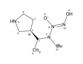 CC([C@@H]1CCNC1)N([N+]([O-])=NO)C(C)(C)C